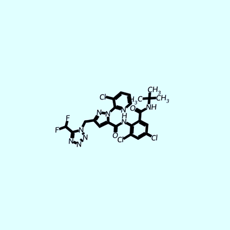 CC(C)(C)NC(=O)c1cc(Cl)cc(Cl)c1NC(=O)c1cc(Cn2nnnc2C(F)F)nn1-c1ncccc1Cl